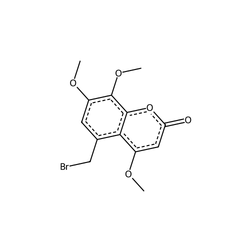 COc1cc(CBr)c2c(OC)cc(=O)oc2c1OC